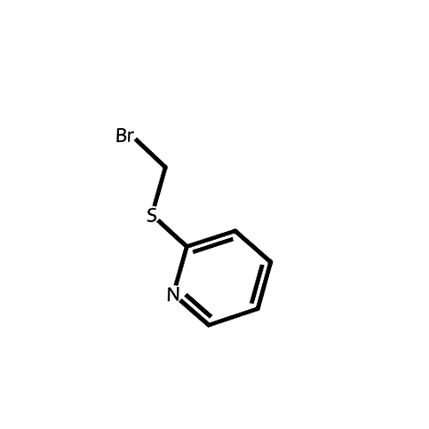 BrCSc1ccccn1